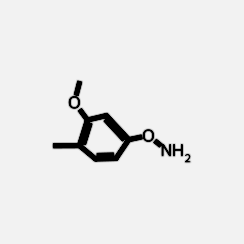 COc1cc(ON)ccc1C